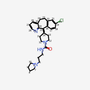 O=C(NCCCN1CCCC1)N1CCC(=C2c3ccc(Cl)cc3CCc3cccnc32)CC1